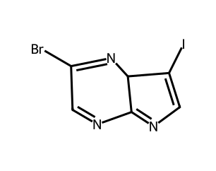 BrC1=NC2C(I)=CN=C2N=C1